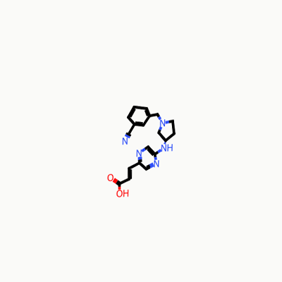 N#Cc1cccc(CN2CC[C@@H](Nc3cnc(C=CC(=O)O)cn3)C2)c1